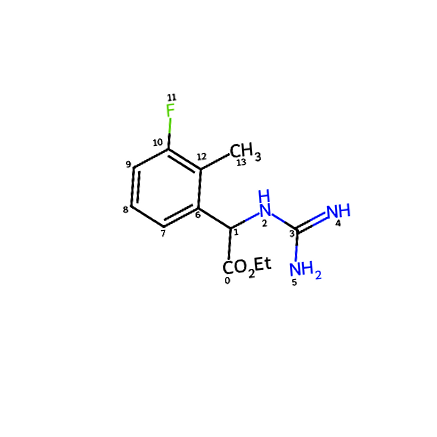 CCOC(=O)C(NC(=N)N)c1cccc(F)c1C